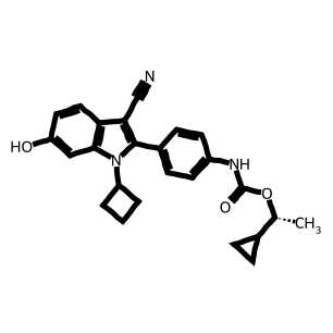 C[C@@H](OC(=O)Nc1ccc(-c2c(C#N)c3ccc(O)cc3n2C2CCC2)cc1)C1CC1